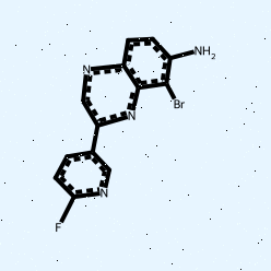 Nc1ccc2ncc(-c3ccc(F)nc3)nc2c1Br